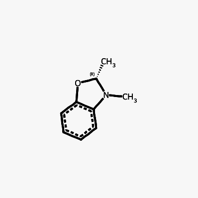 C[C@H]1Oc2ccccc2N1C